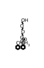 Cc1ccccc1.Cc1ccccc1.O=[SH](=O)OCCOCCOCCO